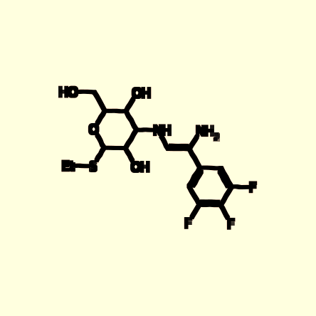 CCSC1OC(CO)C(O)C(N/C=C(\N)c2cc(F)c(F)c(F)c2)C1O